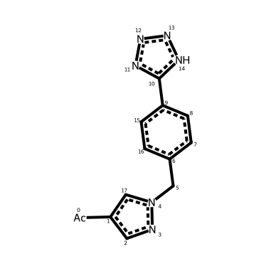 CC(=O)c1cnn(Cc2ccc(-c3nnn[nH]3)cc2)c1